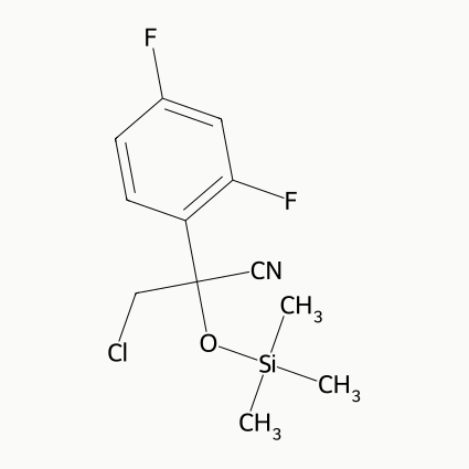 C[Si](C)(C)OC(C#N)(CCl)c1ccc(F)cc1F